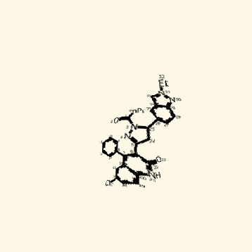 CCCC(=O)N1N=C(c2c(-c3ccccc3)c3cc(Cl)ccc3[nH]c2=O)CC1c1ccc2nn(CC)cc2c1